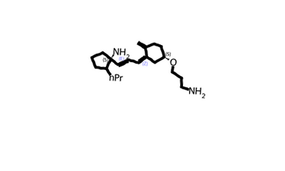 C=C1CC[C@H](OCCCN)C/C1=C/C=C/[C@]1(N)CCCC1CCC